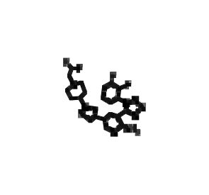 Nc1ncc(-c2cnn(C3CCN(CC(F)F)CC3)c2)cc1-c1nnnn1-c1cccc(F)c1F